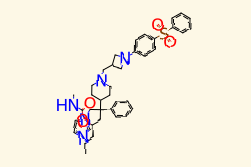 CCC[C@H](CC(Cn1ccnc1)(c1ccccc1)C1CCN(CC2CN(c3ccc(S(=O)(=O)c4ccccc4)cc3)C2)CC1)OC(=O)NC